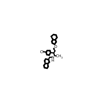 CC(NCc1ccc2ccccc2c1)C(CCOc1ccc2ccccc2c1)c1ccc(Cl)cc1